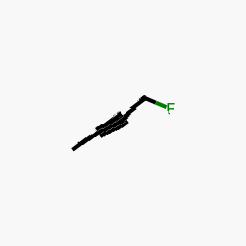 CC#CCF